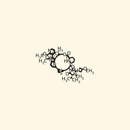 CCn1c(-c2cccnc2[C@H](C)OC)c2c3nc(ccc31)-c1csc(n1)C[C@H](NC(=O)[C@H](C(C)C)N(C)C(=O)N1CC(OC)C1)C(=O)N1CCC[C@H](N1)C(=O)OCC(C)(C)C2